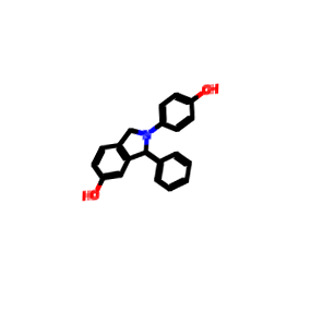 Oc1ccc(N2Cc3ccc(O)cc3C2c2ccccc2)cc1